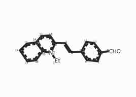 CC[n+]1c(C=Cc2ccc(C=O)cc2)ccc2ccccc21